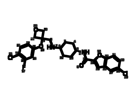 O=C(N[C@H]1CC[C@H](NCC2(Oc3ccc(Cl)c(F)c3)COC2)CC1)c1cc2cc(Cl)ccc2o1